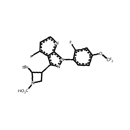 CC(C)(C)C1C(c2nn(-c3ccc(OC(F)(F)F)cc3F)c3nccc(I)c23)CN1C(=O)O